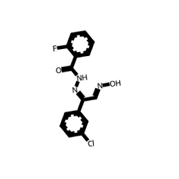 O=C(NN=C(C=NO)c1cccc(Cl)c1)c1ccccc1F